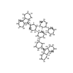 c1ccc(-c2cc(-n3c4ccccc4c4ncccc43)ncc2-c2cc(-c3cccc(-n4c5ccccc5c5ncccc54)c3)cc(-c3cccnc3)n2)nc1